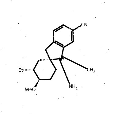 CC[C@@H]1C[C@]2(CC[C@H]1OC)Cc1ccc(C#N)cc1[C@@]21N=C(C)C(N)=N1